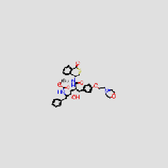 CC(C)(C)OC(=O)NC(Cc1ccccc1)C(O)CC(Cc1ccc(OCCN2CCOCC2)cc1)C(=O)N[C@@H]1CSC(=O)c2ccccc21